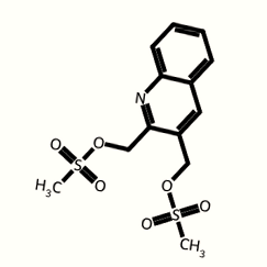 CS(=O)(=O)OCc1cc2ccccc2nc1COS(C)(=O)=O